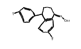 O/N=C1/CCC(c2ccc(F)cc2)c2ccc(F)cc21